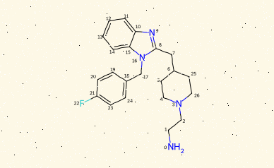 NCCN1CCC(Cc2nc3ccccc3n2Cc2ccc(F)cc2)CC1